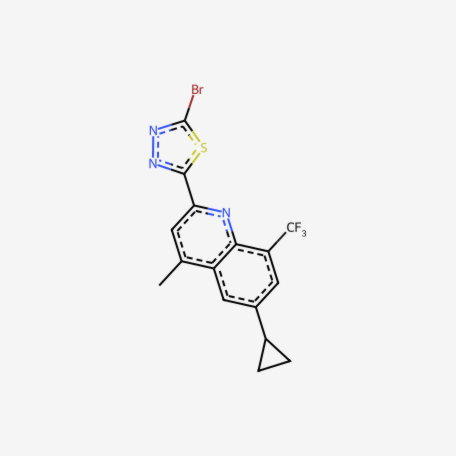 Cc1cc(-c2nnc(Br)s2)nc2c(C(F)(F)F)cc(C3CC3)cc12